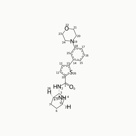 O=C(N[C@@H]1C[C@H]2CC[C@@H]1N2)c1ccc(-c2cccc(N3CCOCC3)c2)s1